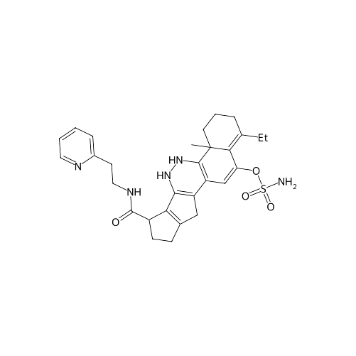 CCC1=C2C(OS(N)(=O)=O)=CC3=C(NNC4=C3CC3=C4C(C(=O)NCCc4ccccn4)CC3)C2(C)CCC1